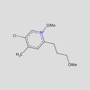 COCCCc1cc(C)c(Cl)c[n+]1OC